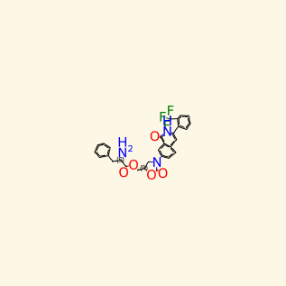 N[C@@H](Cc1ccccc1)C(=O)OC[C@H]1CN(c2ccc3cc(-c4ccccc4C(F)(F)F)[nH]c(=O)c3c2)C(=O)O1